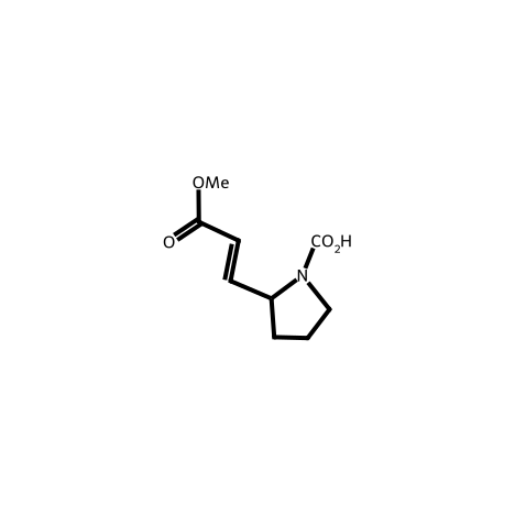 COC(=O)C=CC1CCCN1C(=O)O